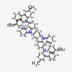 Cc1ccc(N(c2ccc(C(C)(C)C)cc2)c2ccc3c4cc5c(cc4n4c6ccccc6c2c34)c2ccc(N(c3ccc(C(C)(C)C)cc3)c3ccc(C)cc3-c3ccccc3)c3c4ccccc4n5c23)c(-c2ccccc2)c1